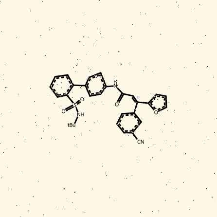 CC(C)(C)NS(=O)(=O)c1ccccc1-c1ccc(NC(=O)/C=C(\c2cccc(C#N)c2)c2ccco2)cc1